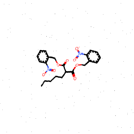 CCCCCC(C(=O)OCc1ccccc1[N+](=O)[O-])C(=O)OCc1ccccc1[N+](=O)[O-]